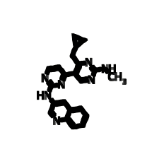 CNc1ncc(-c2ccnc(Nc3cnc4ccccc4c3)n2)c(CC2CC2)n1